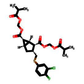 CC(C)C(=O)OCOC(=O)[C@@H]1[C@H](CSc2ccc(F)c(Cl)c2)C[C@H]2[C@H](C(=O)OCOC(=O)C(C)C)[C@H]21